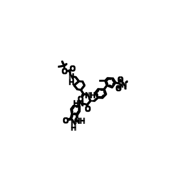 Cc1ccc(S(=O)(=O)N(C)C)cc1-c1ccc(C[C@H](NC(=O)C2CCC(CNC(=O)OC(C)(C)C)CC2)C(=O)Nc2ccc3c(=O)[nH][nH]c3c2)cc1